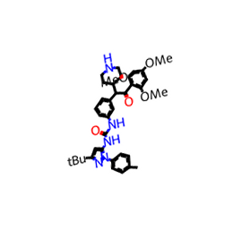 COc1cc(OC)c(C(=O)C(c2cccc(NC(=O)Nc3cc(C(C)(C)C)nn3-c3ccc(C)cc3)c2)C2CCNCC2)c(OC)c1